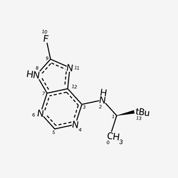 C[C@@H](Nc1ncnc2[nH]c(F)nc12)C(C)(C)C